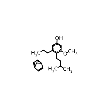 C1=CC2=CC=C1C2.CCCc1cc(O)cc(OC)c1CCC(C)C